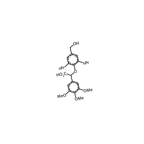 CCCc1cc(CO)cc(CCC)c1OC(C(=O)O)c1cc(OC)c(OC)c(OC)c1